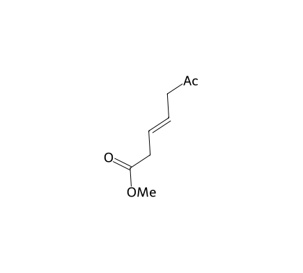 COC(=O)CC=CCC(C)=O